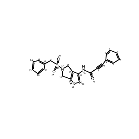 O=C(C#Cc1ccccc1)Nc1n[nH]c2c1CN(S(=O)(=O)Cc1ccccc1)C2